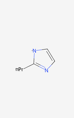 CCCC1=NC=C[N]1